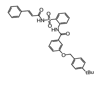 CC(C)(C)c1ccc(COc2cccc(C(=O)Nc3ccccc3S(=O)(=O)NC(=O)C=Cc3ccccc3)c2)cc1